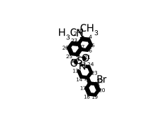 CN(C)c1cccc2c(S(=O)(=O)N3CCC(C4C=CCC=C4Br)CC3)cccc12